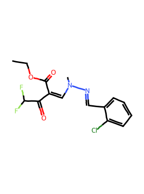 CCOC(=O)/C(=C\N(C)/N=C/c1ccccc1Cl)C(=O)C(F)F